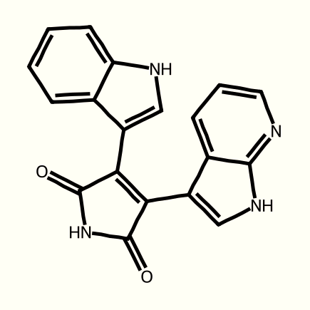 O=C1NC(=O)C(c2c[nH]c3ncccc23)=C1c1c[nH]c2ccccc12